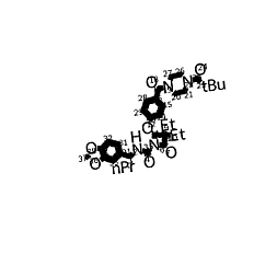 CCC[C@@H](NC(=O)N1C(=O)C(CC)(CC)[C@@H]1Oc1ccc(C(=O)N2CCN(C(=O)C(C)(C)C)CC2)cc1)c1ccc2c(c1)OCO2